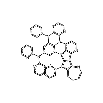 C1=CN=c2c(n(-c3ccccn3)c3c2c2nccc4c2n3-c2cc(N(c3ccccn3)c3ccccn3)cc3c2B4c2nccnc2N3c2ccccc2)=CC1